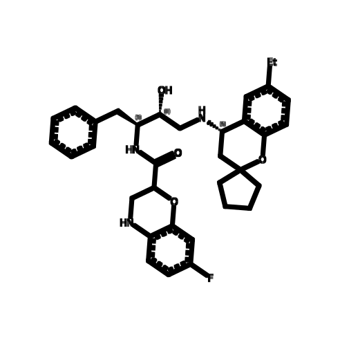 CCc1ccc2c(c1)[C@@H](NC[C@@H](O)[C@H](Cc1ccccc1)NC(=O)C1CNc3ccc(F)cc3O1)CC1(CCCC1)O2